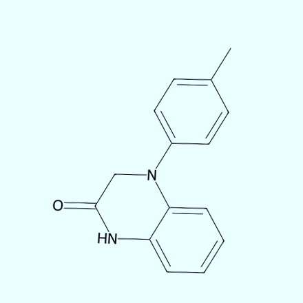 Cc1ccc(N2CC(=O)Nc3ccccc32)cc1